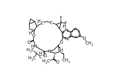 CC[C@@H]1[C@@H]2CN(C(=O)[C@H](C(C)(C)C)NC(=O)O[C@@H]3CC4CC4[C@H]3CCCC3[C@H](c4nc5ccc(OC)cc5nc4O2)C3(F)F)[C@@H]1C(C)=O